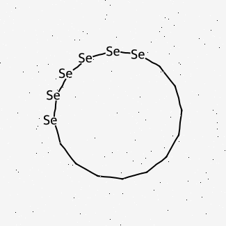 C1CCCCC[Se][Se][Se][Se][Se][Se]CCCC1